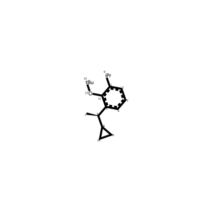 CC(C)c1cccc([C@H](C)C2CC2)c1OC(C)(C)C